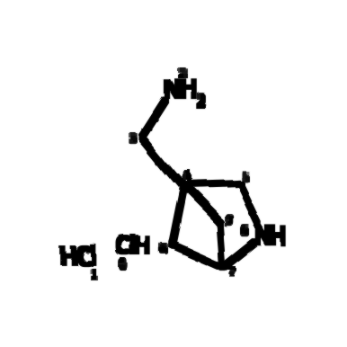 Cl.Cl.NCC12CNC(C1)C2